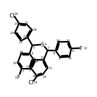 Fc1ccc(C(SC(c2ccc(F)cc2)c2ccc(Cl)cc2)c2ccc(Cl)cc2)cc1